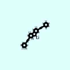 [Li][CH]1c2cc(C#Cc3ccccc3)ccc2-c2ccc(C#Cc3ccccc3)cc21